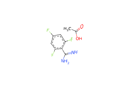 CC(=O)O.N=C(N)c1c(F)cc(F)cc1F